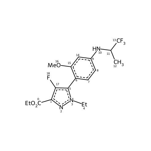 CCOC(=O)c1nn(CC)c(-c2ccc(NC(C)C(F)(F)F)cc2OC)c1F